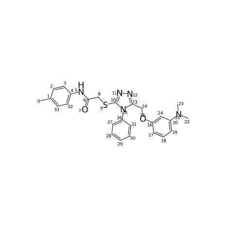 Cc1ccc(NC(=O)CSc2nnc(COc3cccc(N(C)C)c3)n2-c2ccccc2)cc1